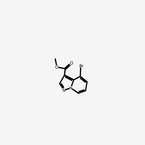 COC(=O)c1cnn2cccc(Br)c12